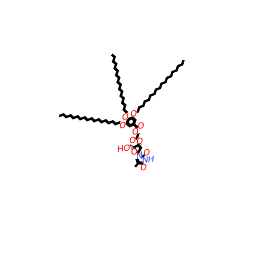 CCCCCCCCCCCCCCCCCCOc1cc(C(=O)OCC(=O)O[C@H]2C[C@H](n3cc(C)c(=O)[nH]c3=O)O[C@@H]2CO)cc(OCCCCCCCCCCCCCCCCCC)c1OCCCCCCCCCCCCCCCCCC